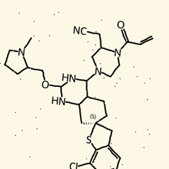 C=CC(=O)N1CCN(C2NC(OCC3CCCN3C)NC3C[C@]4(CCC32)Cc2cccc(Cl)c2S4)CC1CC#N